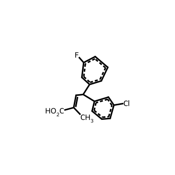 CC(=CC(c1cccc(F)c1)c1cccc(Cl)c1)C(=O)O